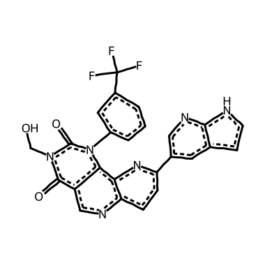 O=c1c2cnc3ccc(-c4cnc5[nH]ccc5c4)nc3c2n(-c2cccc(C(F)(F)F)c2)c(=O)n1CO